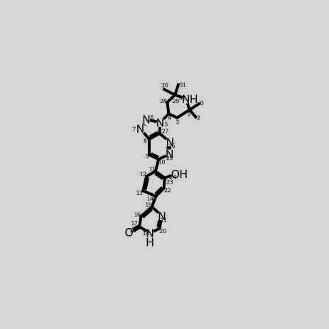 CC1(C)CC(n2nnc3cc(-c4ccc(-c5cc(=O)[nH]cn5)cc4O)nnc32)CC(C)(C)N1